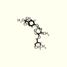 CCC(CC)COC(=O)[C@H](C)N=[P+]([O-])Oc1ccc(C(C)(C)C)cc1